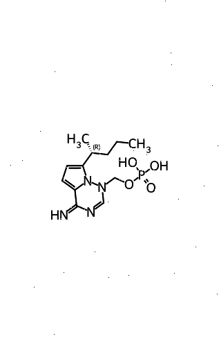 CCC[C@@H](C)c1ccc2c(=N)ncn(COP(=O)(O)O)n12